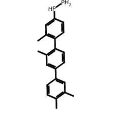 Cc1ccc(-c2ccc(-c3ccc(PP)cc3C)c(C)c2)cc1C